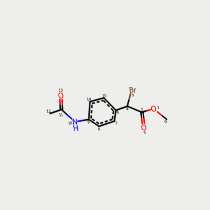 COC(=O)C(Br)c1ccc(NC(C)=O)cc1